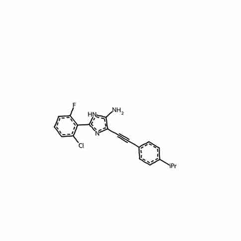 CC(C)c1ccc(C#Cc2nc(-c3c(F)cccc3Cl)[nH]c2N)cc1